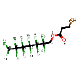 O=C(CCS)OCC(F)(F)C(F)(F)C(F)(F)C(F)(F)C(F)(F)C(F)F